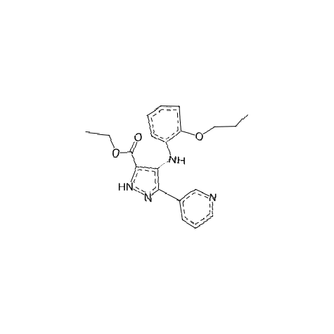 CCCOc1ccccc1Nc1c(-c2cccnc2)n[nH]c1C(=O)OCC